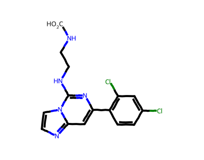 O=C(O)NCCNc1nc(-c2ccc(Cl)cc2Cl)cc2nccn12